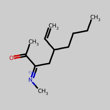 C=CC(CCCC)C/C(=N\C)C(C)=O